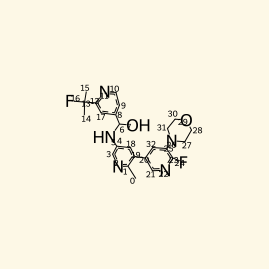 Cc1ncc(NC(O)c2ccnc(C(C)(C)F)c2)cc1-c1cnc(F)c(N2CCOCC2)c1